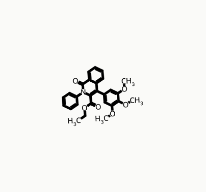 CCOC(=O)c1c(-c2cc(OC)c(OC)c(OC)c2)c2ccccc2c(=O)n1-c1ccccc1